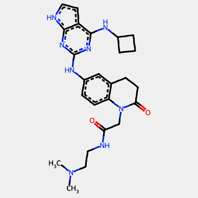 CN(C)CCNC(=O)CN1C(=O)CCc2cc(Nc3nc(NC4CCC4)c4cc[nH]c4n3)ccc21